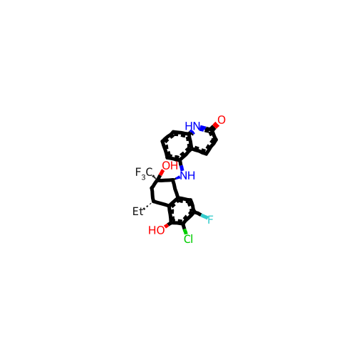 CC[C@@H]1C[C@](O)(C(F)(F)F)[C@@H](Nc2cccc3[nH]c(=O)ccc23)c2cc(F)c(Cl)c(O)c21